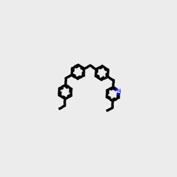 CCc1ccc(Cc2ccc(Cc3ccc(Cc4ccc(CC)cn4)cc3)cc2)cc1